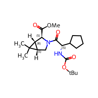 COC(=O)[C@@H]1[C@@H]2[C@H](CN1C(=O)[C@@H](NC(=O)OC(C)(C)C)C1CCCC1)C2(C)C